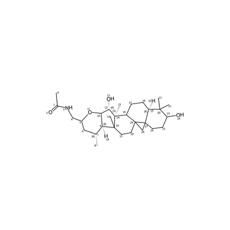 CC(=O)NCC1C[C@@H](C)[C@H]2C(O1)[C@H](O)[C@@]1(C)C3CC[C@H]4C(C)(C)C(O)CCC45CC35CCC21C